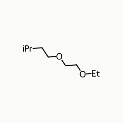 CCOCCOCCC(C)C